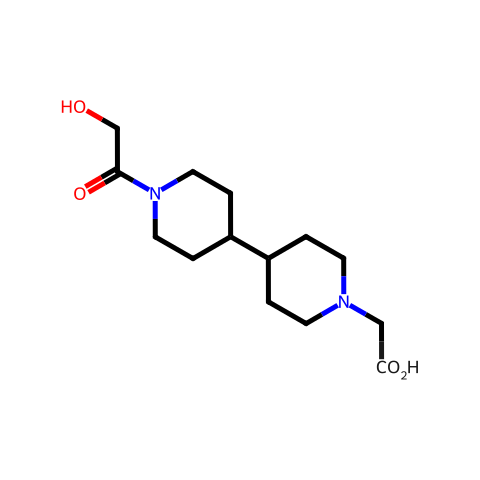 O=C(O)CN1CCC(C2CCN(C(=O)CO)CC2)CC1